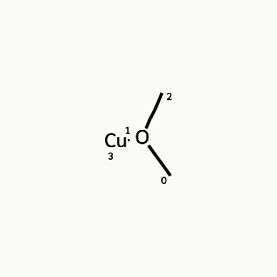 COC.[Cu]